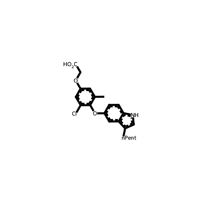 CCCCCc1c[nH]c2ccc(Oc3c(C)cc(OCC(=O)O)cc3Cl)cc12